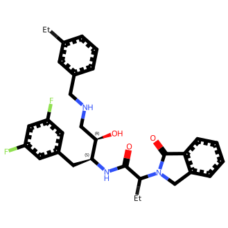 CCc1cccc(CNC[C@@H](O)[C@H](Cc2cc(F)cc(F)c2)NC(=O)C(CC)N2Cc3ccccc3C2=O)c1